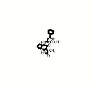 C[C@@H]1C(=O)NC(=O)[C@H]1C(=O)C(NC(=O)C[C@H](NC(=O)O)c1ccccc1)C1CCCC1